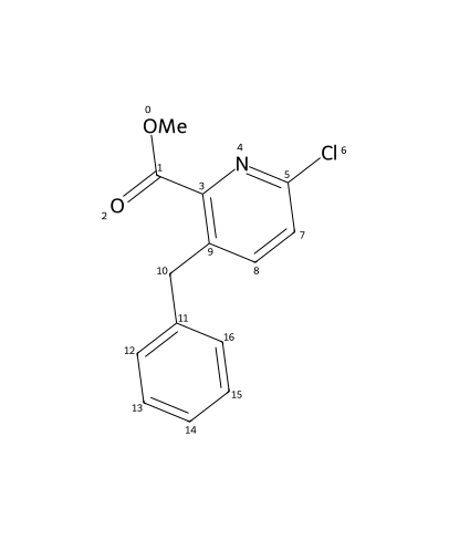 COC(=O)c1nc(Cl)ccc1Cc1ccccc1